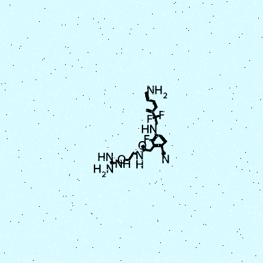 C=C(/C=C\C=C/N)C(F)(F)CNc1ccc(C#N)c(CC(=O)NCCONC(=N)N)c1F